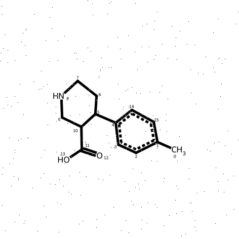 Cc1ccc(C2CCNCC2C(=O)O)cc1